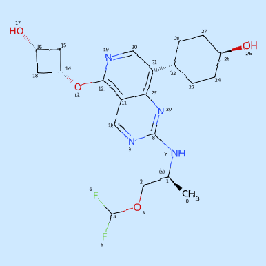 C[C@@H](COC(F)F)Nc1ncc2c(O[C@H]3C[C@@H](O)C3)ncc([C@H]3CC[C@H](O)CC3)c2n1